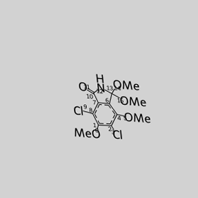 COc1c(Cl)c(OC)c2c(c1Cl)C(=O)NC2(OC)OC